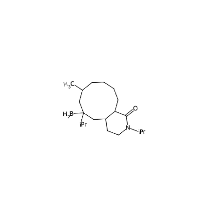 BC1(C(C)C)CC(C)CCCCC2C(=O)N(C(C)C)CCC2C1